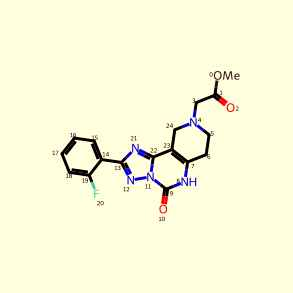 COC(=O)CN1CCc2[nH]c(=O)n3nc(-c4ccccc4F)nc3c2C1